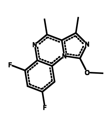 COc1nc(C)c2c(C)nc3c(F)cc(F)cc3n12